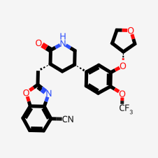 N#Cc1cccc2oc(C[C@H]3C[C@@H](c4ccc(OC(F)(F)F)c(O[C@@H]5CCOC5)c4)CNC3=O)nc12